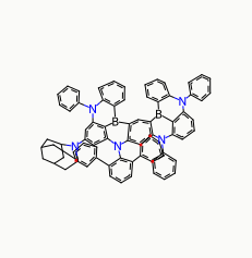 c1ccc(-c2cccc(-c3ccccc3)c2N2c3cc4c(cc3B3c5ccccc5N(c5ccccc5)c5cc(N6C7CC8CC(C7)CC6C8)cc2c53)B2c3ccccc3N(c3ccccc3)c3cccc(c32)N4c2ccccc2)cc1